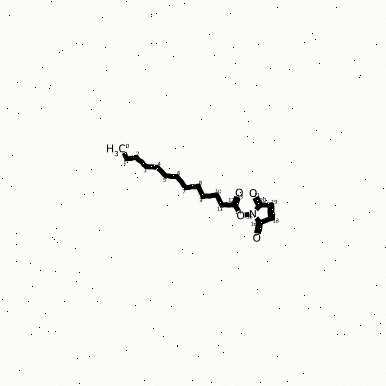 CCCCCCCCCCCCC(=O)ON1C(=O)C=CC1=O